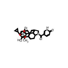 CCc1ccc(O)cc1C12CCN(CC3CC3)C(C)C13CCC1C2C(CN1C(=O)c1ccc(=O)[nH]c1)C3